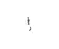 N#CC=CC(=O)OC(F)(F)C(F)(F)C(F)(F)C(F)F